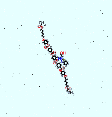 C=CC(=O)OCCCCCCOc1ccc(OC(=O)[C@H]2CC[C@H](C(=O)Oc3ccc(OC(=O)[C@H]4CC[C@H](C(=O)Oc5ccc(OCCCCCCOC(=O)C=C)cc5)CC4)c(/C=N/N(CCO)c4nc5ccccc5s4)c3)CC2)cc1